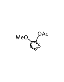 COc1ccsc1OC(C)=O